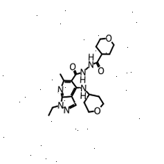 CCn1ncc2c(NC3CCOCC3)c(C(=O)NNC(=O)C3CCOCC3)c(C)nc21